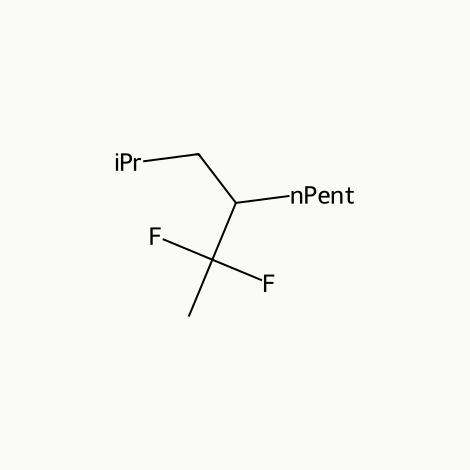 CCCCCC(CC(C)C)C(C)(F)F